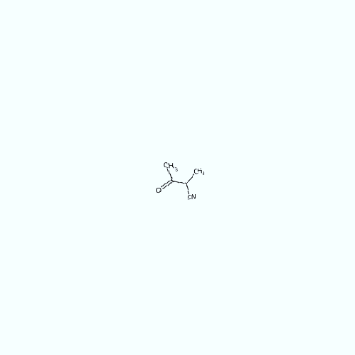 CC(=O)C(C)C#N